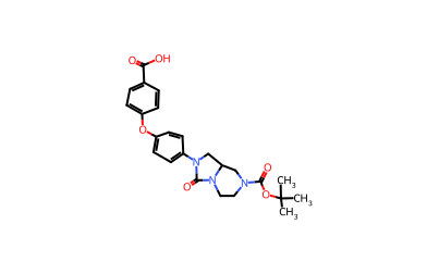 CC(C)(C)OC(=O)N1CCN2C(=O)N(c3ccc(Oc4ccc(C(=O)O)cc4)cc3)CC2C1